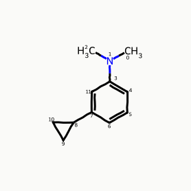 CN(C)c1cccc(C2CC2)c1